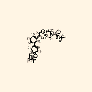 CC(C)(C)OC(=O)N1CCC2(CC1)C[C@H](c1cccc(-c3ccc(OC(F)(F)F)cc3)c1)CO2